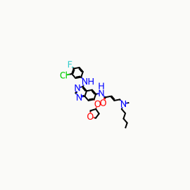 CCCCCN(C)C/C=C/C(=O)Nc1cc2c(Nc3ccc(F)c(Cl)c3)ncnc2cc1O[C@H]1CCOC1